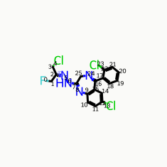 FC/C(CCl)=N\NC1=Nc2ccc(Cl)cc2C(c2ccccc2Cl)=NC1